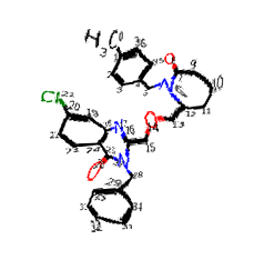 Cc1ccc(CN2C(=O)CCCC2COCc2nc3cc(Cl)ccc3c(=O)n2Cc2ccccc2)cc1